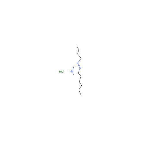 CCCCCCN=NCCCC.CN(C)C.Cl